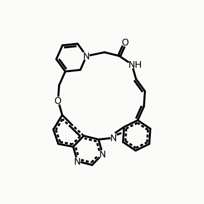 O=C1CN2C=CC=C(COc3ccc4ncnc(c4c3)\N=c3/cccc/c3=C/C=C/N1)C2